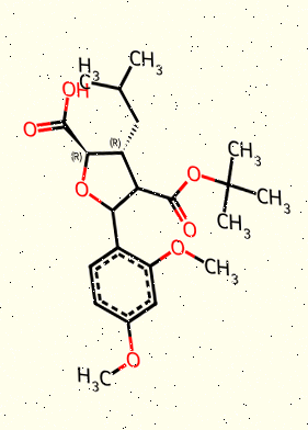 COc1ccc(C2O[C@@H](C(=O)O)[C@H](CC(C)C)C2C(=O)OC(C)(C)C)c(OC)c1